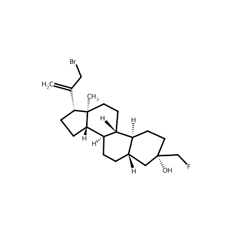 C=C(CBr)[C@H]1CC[C@H]2[C@@H]3CC[C@H]4C[C@](O)(CF)CC[C@@H]4[C@H]3CC[C@]12C